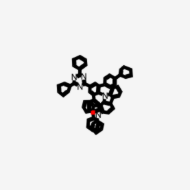 C1=CC(c2ccc(-c3cc(-c4nc(-c5ccccc5)nc(-c5ccccc5)n4)cc(-c4ccc(-c5ccccc5)cc4)c3-n3c4ccccc4c4ccc5c(c6ccccc6n5-c5ccccc5)c43)cc2)=CCC1